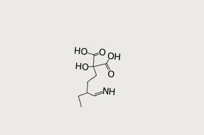 CCC(C=N)CCC(O)(C(=O)O)C(=O)O